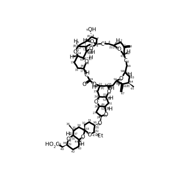 C=C1C[C@@H]2CC[C@]34C[C@@H](O)C(O3)[C@@H]3O[C@H]5CC[C@H](CC(=O)O[C@@H]6CC7OC8C[C@H](O[C@H]9CC[C@@]%10(C[C@H](C)[C@@H]%11O[C@H](CC(=O)O)CC[C@@H]%11O%10)O[C@H]9CC)O[C@@H]8C[C@@H]7O[C@H]6C[C@H]6O[C@@H](CC[C@@H]1O2)C[C@@H](C)C6=C)O[C@@H]5[C@H](O4)[C@@H]3C